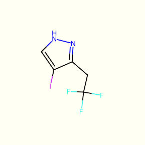 FC(F)(F)Cc1n[nH]cc1I